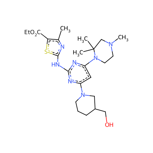 CCOC(=O)c1sc(Nc2nc(N3CCCC(CO)C3)cc(N3CCN(C)CC3(C)C)n2)nc1C